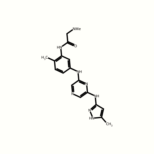 CNCC(=O)Nc1cc(Nc2cncc(Nc3cc(C)[nH]n3)n2)ccc1C